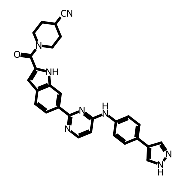 N#CC1CCN(C(=O)c2cc3ccc(-c4nccc(Nc5ccc(-c6cn[nH]c6)cc5)n4)cc3[nH]2)CC1